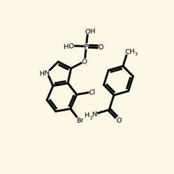 Cc1ccc(C(N)=O)cc1.O=P(O)(O)Oc1c[nH]c2ccc(Br)c(Cl)c12